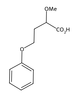 COC(CCOc1ccccc1)C(=O)O